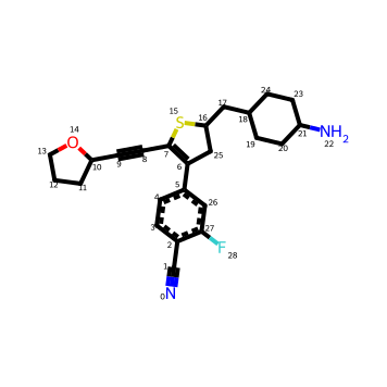 N#Cc1ccc(C2=C(C#CC3CCCO3)SC(CC3CCC(N)CC3)C2)cc1F